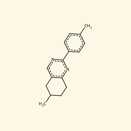 Cc1ccc(-c2ncc3c(n2)CCC(C)C3)cc1